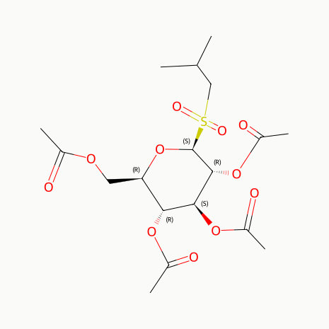 CC(=O)OC[C@H]1O[C@@H](S(=O)(=O)CC(C)C)[C@H](OC(C)=O)[C@@H](OC(C)=O)[C@@H]1OC(C)=O